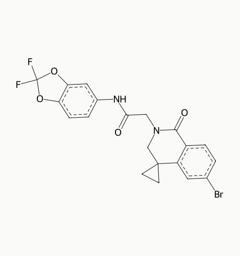 O=C(CN1CC2(CC2)c2cc(Br)ccc2C1=O)Nc1ccc2c(c1)OC(F)(F)O2